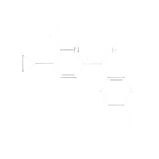 COc1nc(C(O)c2ccc(SC)cc2)ccc1C1CC1